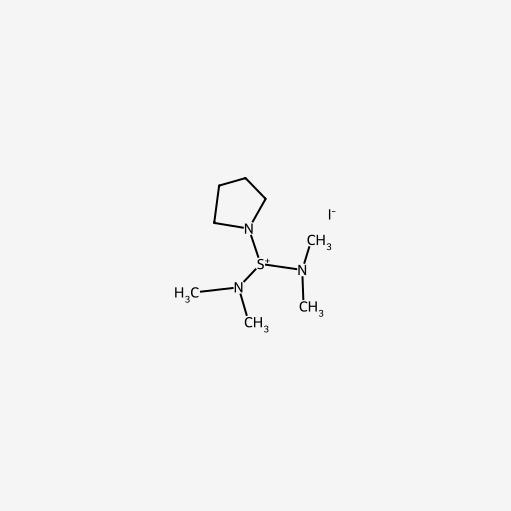 CN(C)[S+](N(C)C)N1CCCC1.[I-]